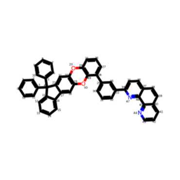 c1ccc(C2(c3ccccc3)c3ccccc3-c3cc4c(cc32)Oc2cccc(-c3cccc(-c5ccc6ccc7cccnc7c6n5)c3)c2O4)cc1